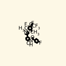 Cc1cc(C(F)(C(F)(F)F)C(F)(F)F)cc(C)c1-n1cc(-c2ccc(Cl)c(NC(=O)c3ccc(F)cc3)c2)cn1